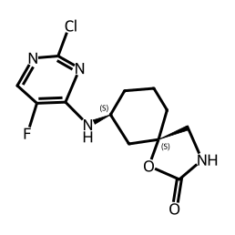 O=C1NC[C@@]2(CCC[C@H](Nc3nc(Cl)ncc3F)C2)O1